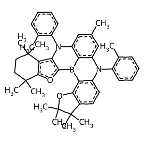 Cc1cc2c3c(c1)N(c1ccccc1C)c1c(oc4c1C(C)(C)CCC4(C)C)B3c1c(ccc3c1OC(C)(C)C3(C)C)N2c1ccccc1C